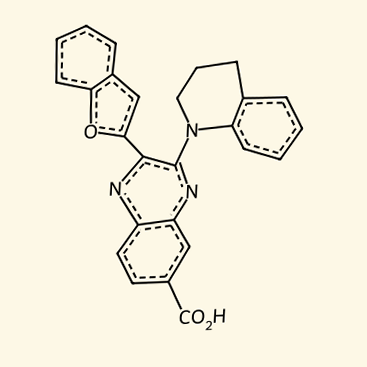 O=C(O)c1ccc2nc(-c3cc4ccccc4o3)c(N3CCCc4ccccc43)nc2c1